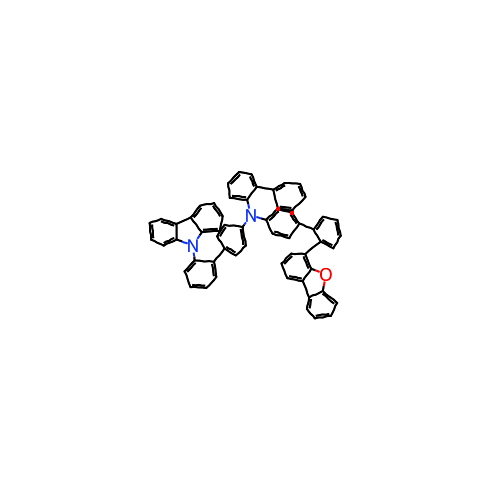 c1ccc(-c2ccccc2N(c2ccc(-c3ccccc3-c3cccc4c3oc3ccccc34)cc2)c2ccc(-c3ccccc3-n3c4ccccc4c4ccccc43)cc2)cc1